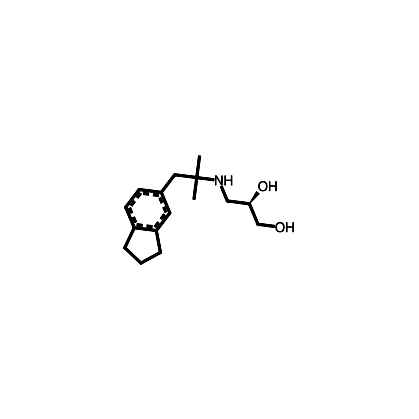 CC(C)(Cc1ccc2c(c1)CCC2)NC[C@@H](O)CO